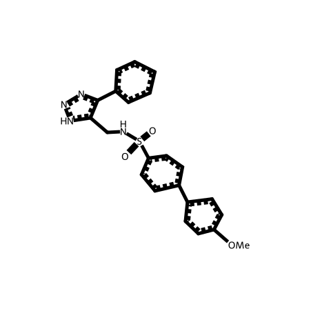 COc1ccc(-c2ccc(S(=O)(=O)NCc3[nH]nnc3-c3ccccc3)cc2)cc1